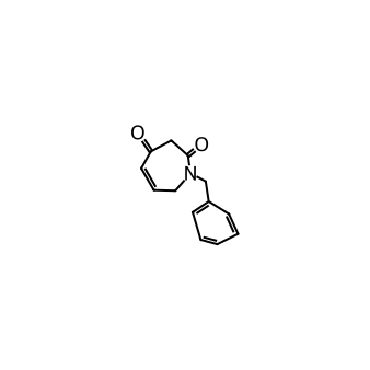 O=C1C=CCN(Cc2ccccc2)C(=O)C1